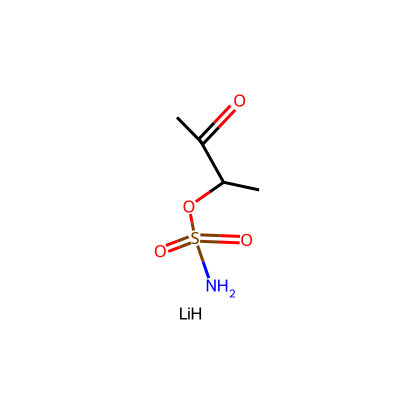 CC(=O)C(C)OS(N)(=O)=O.[LiH]